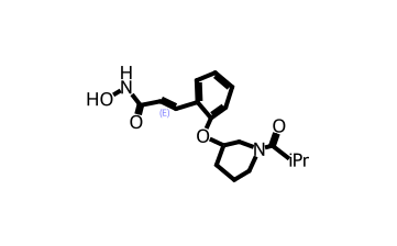 CC(C)C(=O)N1CCCC(Oc2ccccc2/C=C/C(=O)NO)C1